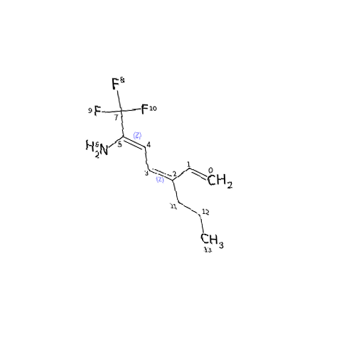 C=C/C(=C\C=C(/N)C(F)(F)F)CCC